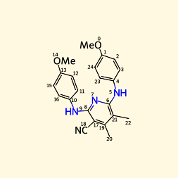 COc1ccc(Nc2nc(Nc3ccc(OC)cc3)c(C#N)c(C)c2C)cc1